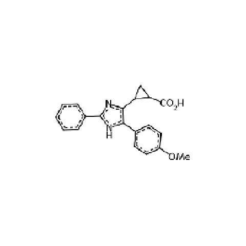 COc1ccc(-c2[nH]c(-c3ccccc3)nc2C2CC2C(=O)O)cc1